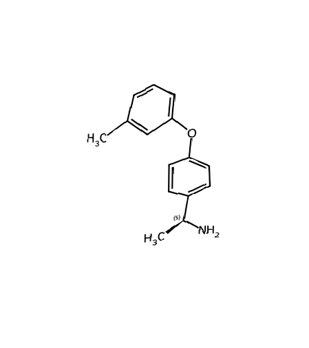 Cc1cccc(Oc2ccc([C@H](C)N)cc2)c1